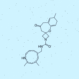 Cc1cc(CNC(=O)N2CC3(CC(=O)CC4=CC(C)CC=C4O3)C2)ccc[nH]c(C)c1